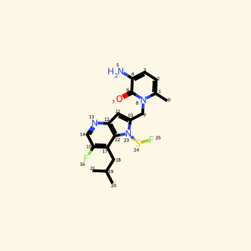 Cc1ccc(N)c(=O)n1Cc1cc2ncc(F)c(CC(C)C)c2n1SF